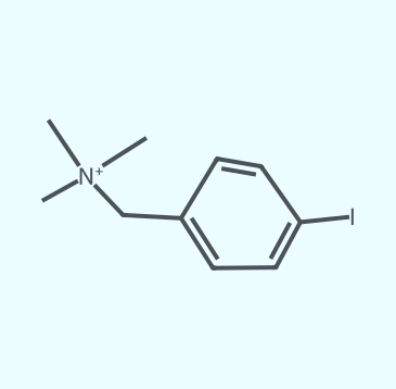 C[N+](C)(C)Cc1ccc(I)cc1